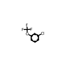 FC(F)(F)Oc1[c]c(Cl)ccc1